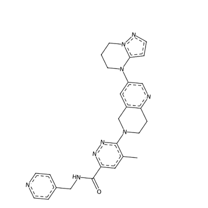 Cc1cc(C(=O)NCc2ccncc2)nnc1N1CCc2ncc(N3CCCn4nccc43)cc2C1